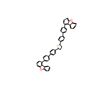 c1ccc2c(c1)oc1cccc(-c3ccc(-c4ccc(C5CCC(c6ccc(-c7ccc(-c8cccc9oc%10ccccc%10c89)cc7)cc6)S5)cc4)cc3)c12